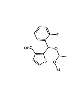 CCOC(C)OC(c1ccccc1F)c1sccc1C=O